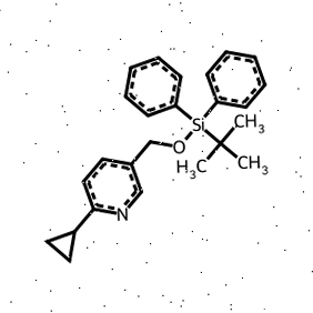 CC(C)(C)[Si](OCc1ccc(C2CC2)nc1)(c1ccccc1)c1ccccc1